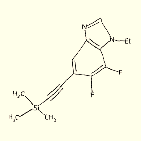 CCn1cnc2cc(C#C[Si](C)(C)C)c(F)c(F)c21